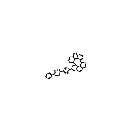 c1ccc(-c2ccc(-c3cnc(-c4cc5ccc6cccc7c8cccc9ccc%10cccc(c(c4)c5c67)c%10c98)cn3)nn2)cc1